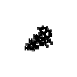 CC(C)(c1cncc2ccccc12)N(N)C(=O)[C@H]1[C@@H]2CNC[C@@H]21